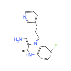 C=C(NC1=CCC(F)=CC=C1)C(=C\N)/N=C\CCc1cccnc1